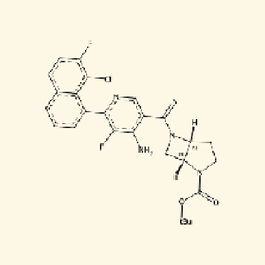 CC(C)(C)OC(=O)N1CC[C@@H]2[C@H]1CN2C(=S)c1cnc(-c2cccc3ccc(F)c(Cl)c23)c(F)c1N